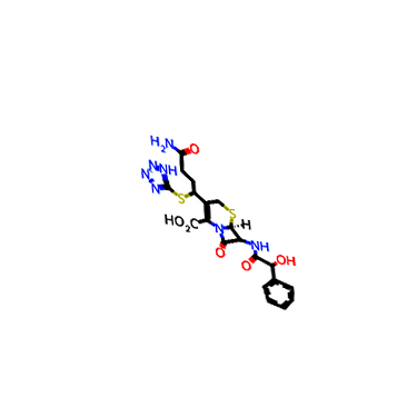 NC(=O)CCC(Sc1nnn[nH]1)C1=C(C(=O)O)N2C(=O)C(NC(=O)C(O)c3ccccc3)[C@@H]2SC1